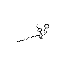 CCCCCCCCCCCc1nnc2n1-c1sc(CC)cc1C(c1ccccc1)OC2